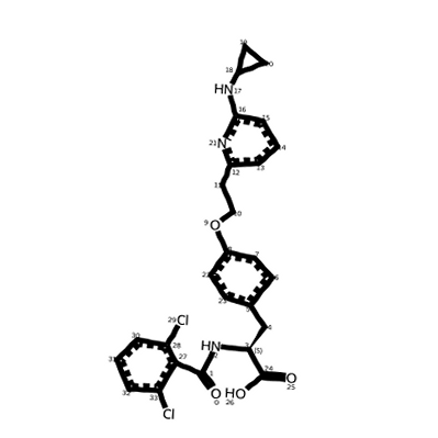 O=C(N[C@@H](Cc1ccc(OCCc2cccc(NC3CC3)n2)cc1)C(=O)O)c1c(Cl)cccc1Cl